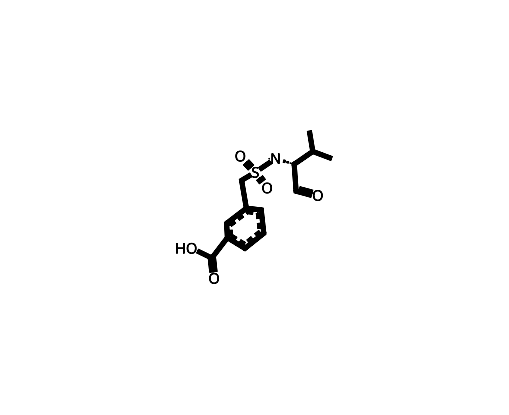 CC(C)[C@H](C=O)[N]S(=O)(=O)Cc1cccc(C(=O)O)c1